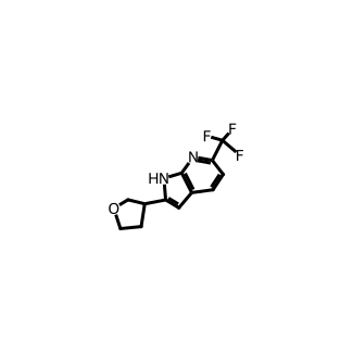 FC(F)(F)c1ccc2cc(C3CCOC3)[nH]c2n1